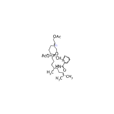 CC(=O)OC/C=C1\CC[C@@H](OC(C)=O)[C@](C)(CCCC(C)C(CC=C(C)C)NC(=O)c2ccccc2)OC1